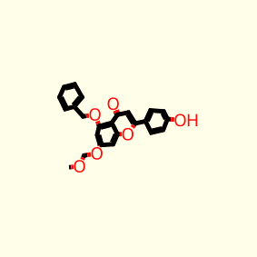 COCOc1cc(OCc2ccccc2)c2c(=O)cc(-c3ccc(O)cc3)oc2c1